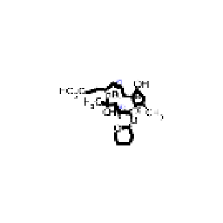 CCCCC(C)(C)/C=C/[C@H](OC1CCCCO1)[C@H]1[C@H](C)CC(O)[C@@H]1C/C=C\CCCC(=O)O